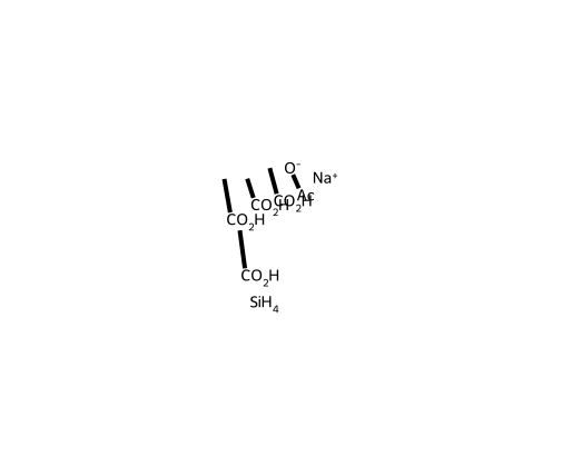 CC(=O)O.CC(=O)O.CC(=O)O.CC(=O)O.CC(=O)[O-].[Na+].[SiH4]